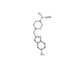 O=CC(Cl)N1CCN(Cc2cc3cc(C(F)(F)F)ccc3o2)CC1